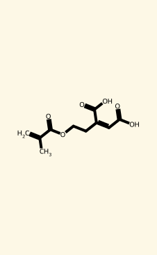 C=C(C)C(=O)OCCC(=CC(=O)O)C(=O)O